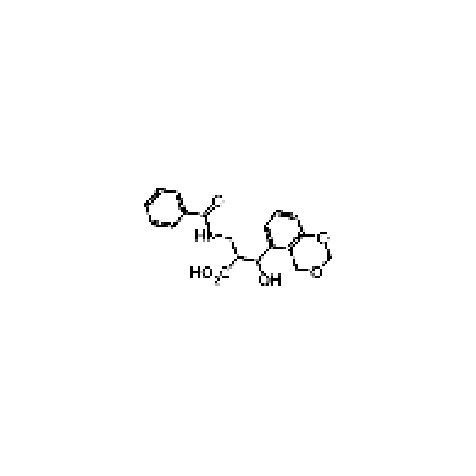 O=C(NCC(C(=O)O)C(O)c1cccc2c1COCO2)c1ccccc1